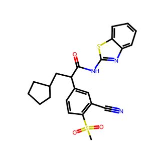 CS(=O)(=O)c1ccc(C(CC2CCCC2)C(=O)Nc2nc3ccccc3s2)cc1C#N